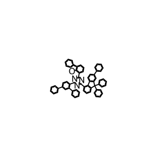 c1ccc(-c2ccc(-c3nc(-c4cccc5c4-c4ccc(-c6ccccc6)cc4C5(c4ccccc4)c4ccccc4)nc(-c4cccc5c4oc4ccccc45)n3)c(-c3ccccc3)c2)cc1